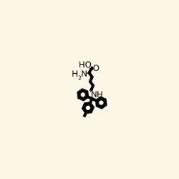 Cc1ccc(C(NCCCC[C@H](N)C(=O)O)(c2ccccc2)c2ccccc2)cc1